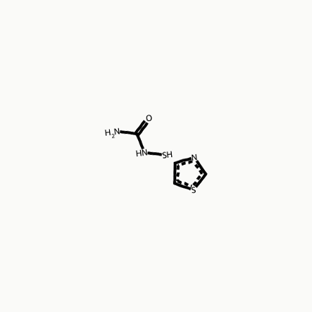 NC(=O)NS.c1cscn1